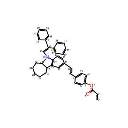 C=CC(=O)Oc1ccc(C=Cc2ccc3c(c2)C2CCCCCC2N3C=C(c2ccccc2)c2ccccc2)cc1